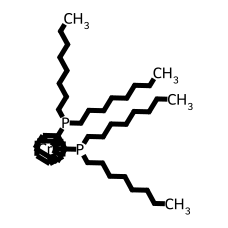 CCCCCCCCP(CCCCCCCC)[C]12[CH]3[CH]4[CH]5[C]1(P(CCCCCCCC)CCCCCCCC)[Cr]43521678[CH]2[CH]1[CH]6[CH]7[CH]28